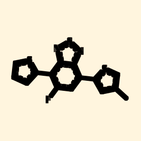 Cc1csc(-c2cc(F)c(-c3cccs3)c3nsnc23)c1